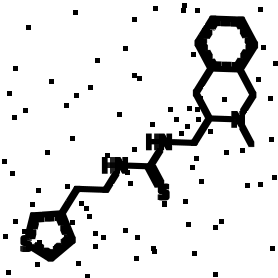 CN1Cc2ccccc2CC1CNC(=S)NCCc1ccsc1